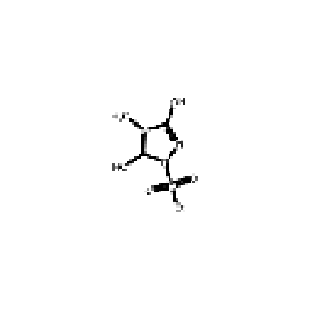 CCS(=O)(=O)N1N=C(O)N(C)C1O